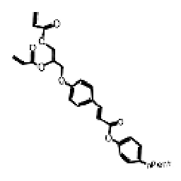 C=CC(=O)OCC(COc1ccc(/C=C/C(=O)Oc2ccc(CCCCC)cc2)cc1)OC(=O)C=C